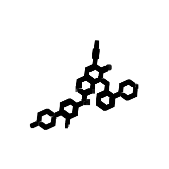 CC#Cc1cc2cnc(Nc3ccc(N4CCN(C)CC4)c(F)c3)nc2n(Cc2ccccc2N2CCOCC2)c1=O